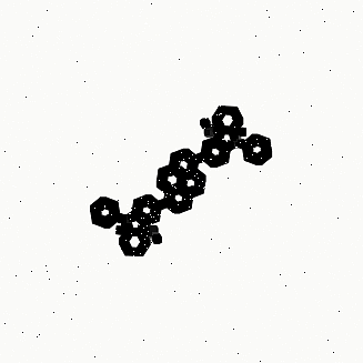 COC12CCCCC1(C)N(c1ccccc1)c1ccc(-c3ccc4ccc5c(-c6ccc7c(c6)C6(OC)CCCCC6(C)N7c6ccccc6)ccc6ccc3c4c65)cc12